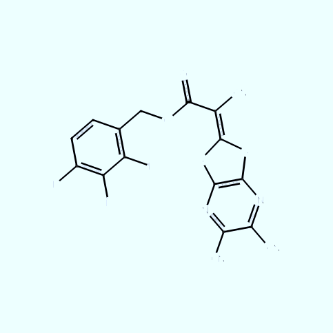 N#CC(C(=O)OCc1ccc(F)c(F)c1F)=C1Sc2nc(C#N)c(C#N)nc2S1